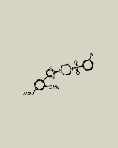 COc1ccc(-c2csc(N3CCN(S(=O)(=O)c4cccc(Br)c4)CC3)n2)c(OC)c1